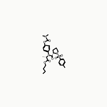 CCCCOC(=O)[C@H](C)N(C(=O)[C@@H]1CCCN1S(=O)(=O)c1ccc(C)cc1)c1ccc(OC(=O)N(C)C)cc1